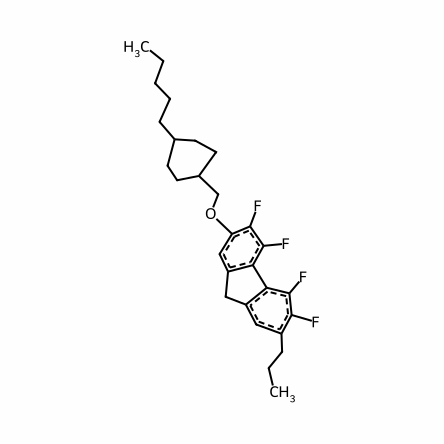 CCCCCC1CCC(COc2cc3c(c(F)c2F)-c2c(cc(CCC)c(F)c2F)C3)CC1